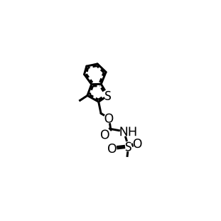 Cc1c(COC(=O)NS(C)(=O)=O)sc2ccccc12